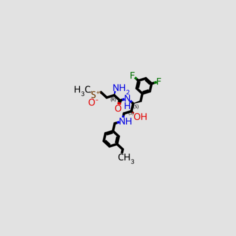 CCc1cccc(CNC[C@H](O)[C@H](Cc2cc(F)cc(F)c2)NC(=O)[C@H](N)CC[S+](C)[O-])c1